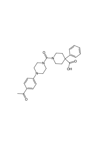 CC(=O)c1ccc(N2CCN(C(=O)N3CCC(C(=O)O)(c4ccccc4)CC3)CC2)cc1